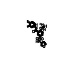 [2H]C([2H])([2H])Oc1ccc(S(=O)(=O)N[C@H]2CCOC2)cc1C(=O)Nc1ccc(F)c(C)c1